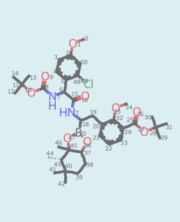 COc1ccc(C(NC(=O)OC(C)(C)C)C(=O)NC(Cc2cccc(C(=O)OC(C)(C)C)c2OC)B2OC3CCC(C)(C)[C@H](C)C3(C)O2)c(Cl)c1